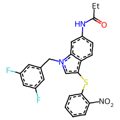 CCC(=O)Nc1ccc2c(Sc3ccccc3[N+](=O)[O-])cn(Cc3cc(F)cc(F)c3)c2c1